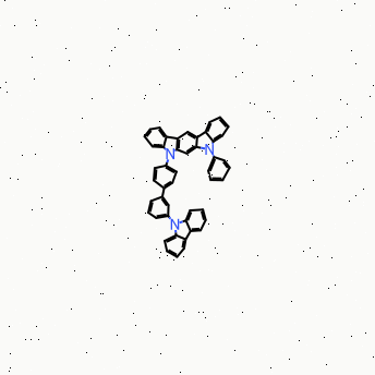 c1ccc(-n2c3ccccc3c3cc4c5ccccc5n(-c5ccc(-c6cccc(-n7c8ccccc8c8ccccc87)c6)cc5)c4cc32)cc1